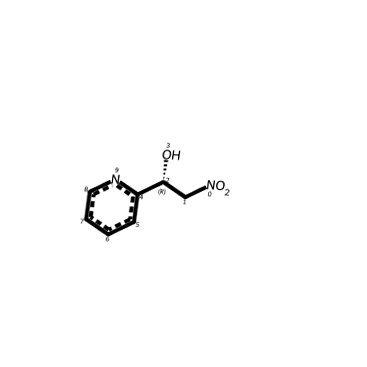 O=[N+]([O-])C[C@@H](O)c1ccccn1